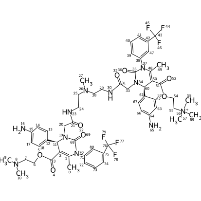 CC1=C(C(=O)OCCN(C)C)[C@@H](c2ccc(N)cc2)N(CC(=O)NCCN(C)CCNC(=O)CN2C(=O)N(c3cccc(C(F)(F)F)c3)C(C)=C(C(=O)OCC[N+](C)(C)C)[C@H]2c2ccc(N)cc2)C(=O)N1c1cccc(C(F)(F)F)c1